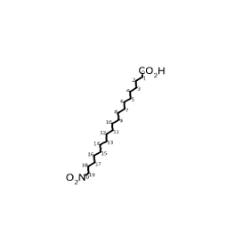 O=C(O)CCCCCCCCCCCCCCCCCCC[N+](=O)[O-]